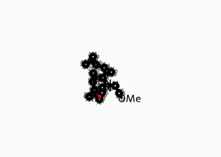 COc1ccc(-c2cccc(-c3nc(-c4cc(-n5c6ccccc6c6ccc(-c7ccc8c(c7)c7ccccc7n8-c7ccccc7)cc65)cc(-n5c6ccccc6c6ccc(-c7ccc8c(c7)c7ccccc7n8-c7ccccc7)cc65)c4)c4ccc5ccccc5c4n3)c2)cc1